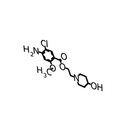 COc1cc(N)c(Cl)cc1C(=O)OCCN1CCC(O)CC1